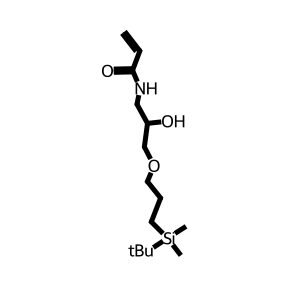 C=CC(=O)NCC(O)COCCC[Si](C)(C)C(C)(C)C